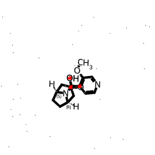 COc1cnccc1[C@]1(O)C[C@H]2CC[C@@H](C1)N2C(=O)O